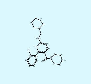 O=C(c1cnc(NCC2CCCCC2)nc1-c1ccccc1F)N1CCOCC1